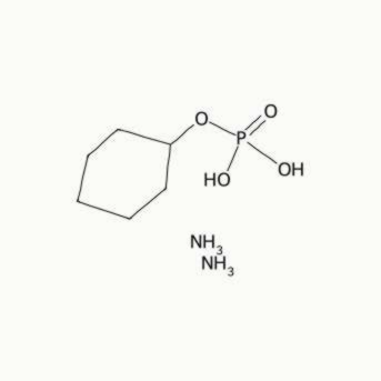 N.N.O=P(O)(O)OC1CCCCC1